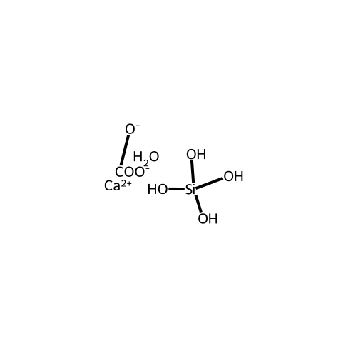 O.O=C([O-])[O-].O[Si](O)(O)O.[Ca+2]